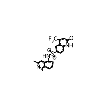 Cc1cc2c(NS(=O)(=O)c3ccc4[nH]c(=O)cc(C(F)(F)F)c4c3)cccc2nn1